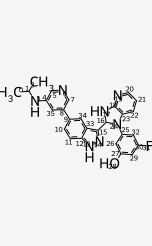 CC(C)Nc1cncc(-c2ccc3[nH]nc(C4Nc5ncccc5N4c4cc(O)cc(F)c4)c3c2)c1